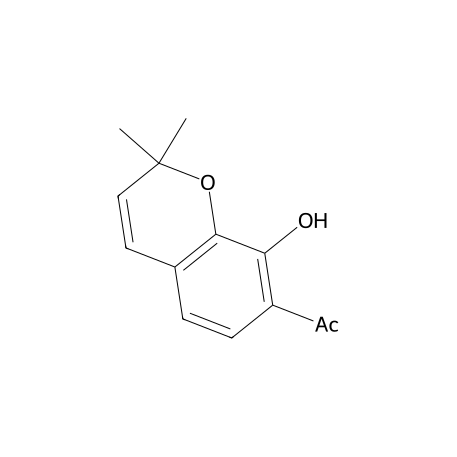 CC(=O)c1ccc2c(c1O)OC(C)(C)C=C2